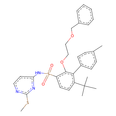 CSc1nccc(NS(=O)(=O)c2ccc(C(C)(C)C)c(-c3ccc(C)cc3)c2OCCOCc2ccccc2)n1